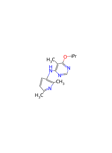 Cc1ccc(Nc2ncnc(OC(C)C)c2C)c(C)n1